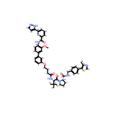 COc1cc(-c2cccc(OCCCC(=O)N[C@H](C(=O)N3CCC[C@H]3C(=O)NCc3ccc(-c4scnc4C)cc3)C(C)(C)C)c2)ccc1NC(=O)c1cccc(-c2ccn[nH]2)n1